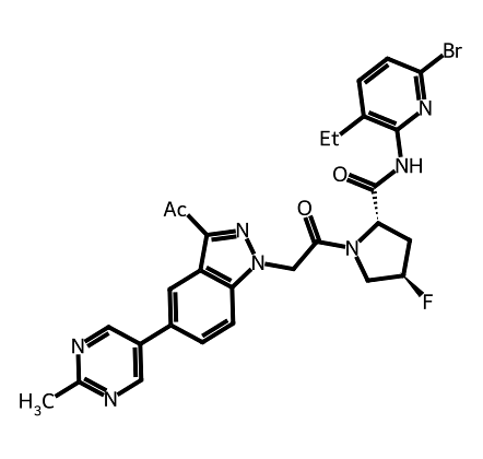 CCc1ccc(Br)nc1NC(=O)[C@@H]1C[C@@H](F)CN1C(=O)Cn1nc(C(C)=O)c2cc(-c3cnc(C)nc3)ccc21